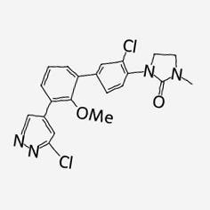 COc1c(-c2cnnc(Cl)c2)cccc1-c1ccc(N2CCN(C)C2=O)c(Cl)c1